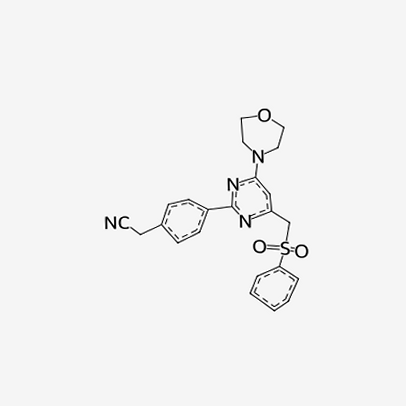 N#CCc1ccc(-c2nc(CS(=O)(=O)c3ccccc3)cc(N3CCOCC3)n2)cc1